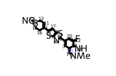 CN/C=C1/C=C(c2nc3sc(C4=CCB(C#N)CC4)cc3s2)C=C(F)C1=N